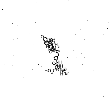 C[C@]12C=CC(=O)C=C1CC[C@H]1[C@@H]3C[C@H]4O[C@@H](c5csc(Cc6cccc(NC(=O)[C@H](CCC(=O)O)NC(=O)CNC(=O)CBr)c6)c5)O[C@@]4(C(=O)CO)[C@@]3(C)C[C@H](O)[C@@]12F